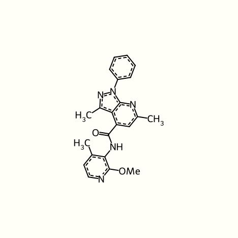 COc1nccc(C)c1NC(=O)c1cc(C)nc2c1c(C)nn2-c1ccccc1